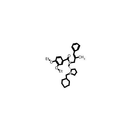 CCOc1ccc(C(=O)N(CC(C)=Cc2ccccc2)C[C@@H]2CCCN2CC2CCCCC2)cc1OCC